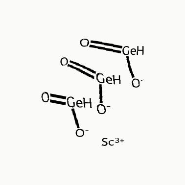 [O]=[GeH][O-].[O]=[GeH][O-].[O]=[GeH][O-].[Sc+3]